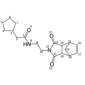 O=C(CC1CCCC1)NCCN1C(=O)C2C3C=CC(C3)C2C1=O